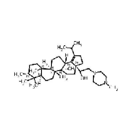 CC(C)C1=C2[C@H]3CC[C@@H]4[C@@]5(C)CC[C@H](C)C(C)(C)[C@@H]5CC[C@@]4(C)[C@]3(C)CC[C@@]2(C(O)CN2CCN(C)CC2)CC1